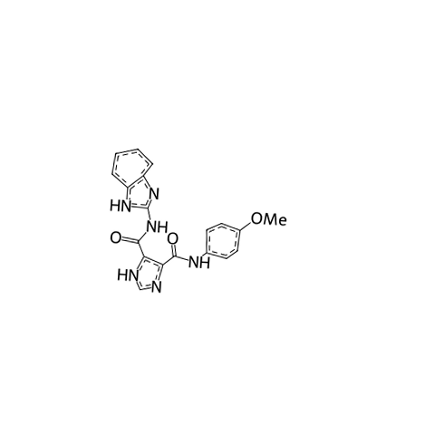 COc1ccc(NC(=O)c2nc[nH]c2C(=O)Nc2nc3ccccc3[nH]2)cc1